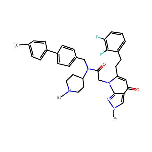 CCN1CCC(N(Cc2ccc(-c3ccc(C(F)(F)F)cc3)cc2)C(=O)Cn2c(CCc3cccc(F)c3F)cc(=O)c3cn(C(C)C)nc32)CC1